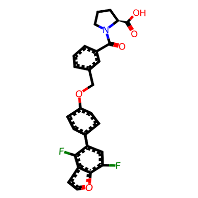 O=C(O)[C@@H]1CCCN1C(=O)c1cccc(COc2ccc(-c3cc(F)c4occc4c3F)cc2)c1